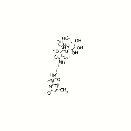 Cc1cc(=O)nc(NC(=O)NCCCCNC(=O)[C@H](O)[C@@H](O)[C@H](O[C@@H]2O[C@H](CO)[C@H](O)[C@H](O)[C@H]2O)[C@H](O)CO)[nH]1